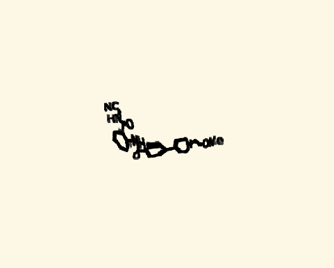 COCCN1CCC(c2ccc(C(=O)N[C@H]3CCCC[C@H]3C(=O)NCC#N)cc2)CC1